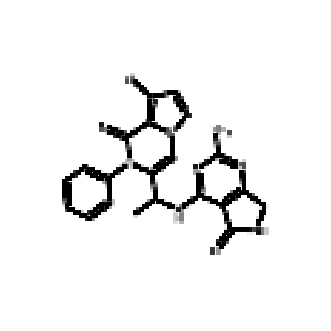 CC(Nc1nc(N)nc2c1C(=O)NC2)c1cn2ncc(Cl)c2c(=O)n1-c1ccccc1